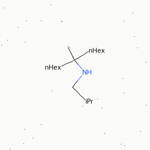 CCCCCCC(C)(CCCCCC)NCC(C)C